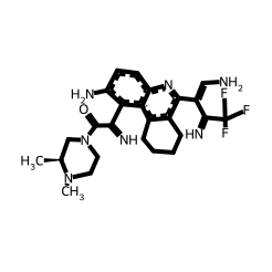 C[C@H]1CN(C(=O)C(=N)c2c(N)ccc3nc(/C(=C/N)C(=N)C(F)(F)F)c4c(c23)CCCC4)CCN1C